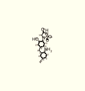 Nc1ccc(F)cc1Cc1ccc(N2CC(=O)NS2(=O)=O)c(O)c1